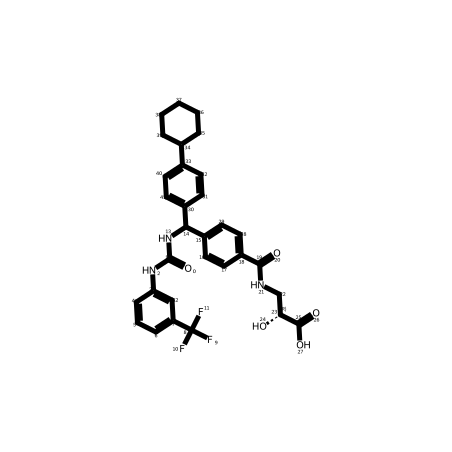 O=C(Nc1cccc(C(F)(F)F)c1)NC(c1ccc(C(=O)NC[C@@H](O)C(=O)O)cc1)c1ccc(C2CCCCC2)cc1